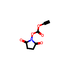 C#COC(=O)ON1C(=O)CCC1=O